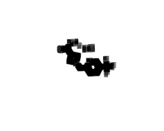 Cl.NC(=O)C1CN(Cc2ccc(C(F)(F)F)cn2)C1